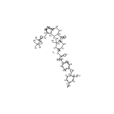 C[C@@H](C(=O)Nc1cnc(Oc2ccc(F)cc2F)cn1)N1CCN(C(=O)C2CCn3nnc(CO[Si](C)(C)C(C)(C)C)c3C2)C(C)(C)C1